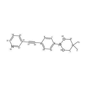 CC1(C)COB(c2ccc(C#Cc3cccnc3)cc2)OC1